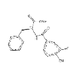 COC(=O)[C@H](Cc1ccccc1)NC(=O)c1ccc(C#N)c(F)c1